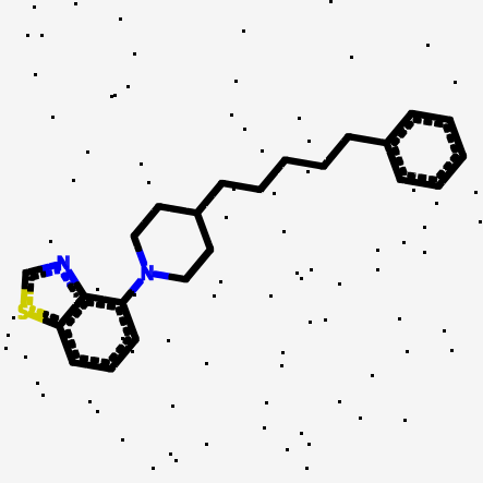 c1ccc(CCCCCC2CCN(c3cccc4scnc34)CC2)cc1